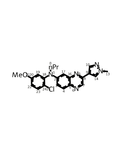 CCCN(c1ccc2ncc(-c3cnn(C)c3)nc2c1)c1cc(OC)ccc1Cl